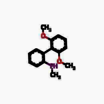 COc1cccc(OC)c1-c1ccccc1PC